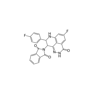 O=C1c2ccccc2C(=O)N1C1c2n[nH]c(=O)c3cc(F)cc(c23)NC1c1ccc(F)cc1